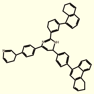 C1=Cc2cccc(C3=CCCC(C4=NC(c5ccc(C6C=NC=CC6)cc5)=CC(c5ccc(-c6cc7c(c8ccccc68)CCC=C7)cc5)N4)=C3)c2CC1